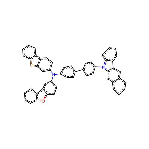 c1ccc2cc3c(cc2c1)c1ccccc1n3-c1ccc(-c2ccc(N(c3ccc4c(c3)sc3ccccc34)c3ccc4oc5ccccc5c4c3)cc2)cc1